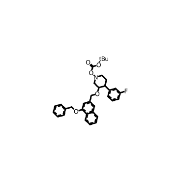 CC(C)(C)OC(=O)ON1CCC(c2cccc(F)c2)C(OCc2cc(OCc3ccccc3)c3ccccc3c2)C1